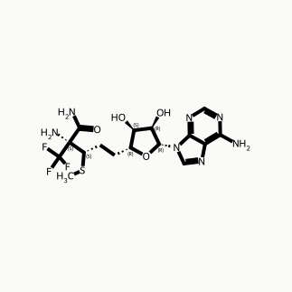 CS[C@@H](CC[C@H]1O[C@@H](n2cnc3c(N)ncnc32)[C@H](O)[C@@H]1O)[C@](N)(C(N)=O)C(F)(F)F